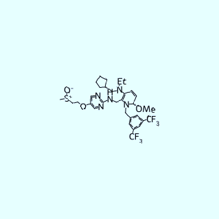 CCN(CC1CCCC1)C1=C(CNc2ncc(OCC[S+](C)[O-])cn2)N(Cc2cc(C(F)(F)F)cc(C(F)(F)F)c2)C(OC)C=C1